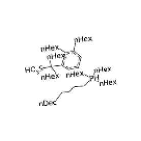 CCCCCCCCCCCCCC[PH](CCCCCC)(CCCCCC)CCCCCC.CCCCCCc1cccc(C(CCCCCC)(CCCCCC)S(=O)(=O)O)c1CCCCCC